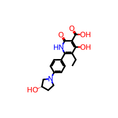 CCc1c(-c2ccc(N3CC[C@H](O)C3)cc2)[nH]c(=O)c(C(=O)O)c1O